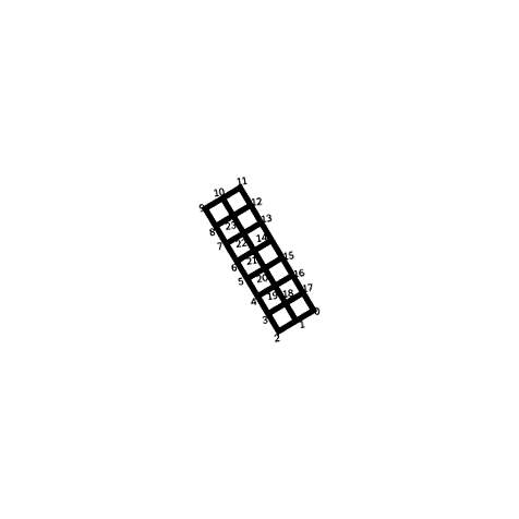 C1C2CC3C4C5C6C7C8CC9CC%10C%11C%12C%13C%14C1C23C%144C%135C%126C%117C9%108